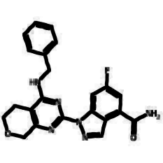 NC(=O)c1cc(F)cc2c1cnn2-c1nc2c(c(NCc3ccccc3)n1)CCOC2